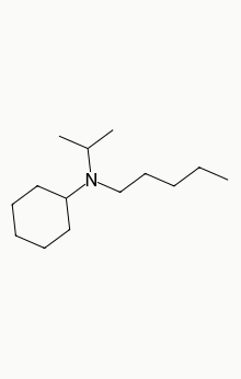 CCCCCN(C(C)C)C1CCCCC1